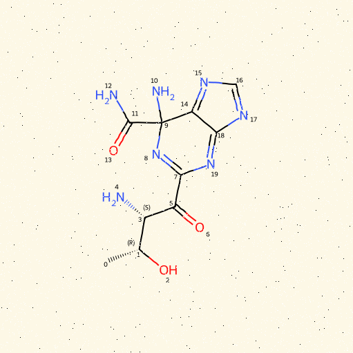 C[C@@H](O)[C@H](N)C(=O)C1=NC(N)(C(N)=O)C2=NC=NC2=N1